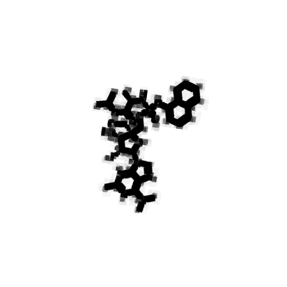 Cc1nc(N(C)C)c2ncn([C@@H]3O[C@](CCl)(CO[P@](=O)(N[C@H](C)C(=O)OC(C)C)Oc4cccc5ccccc45)[C@@H](O)[C@H]3F)c2n1